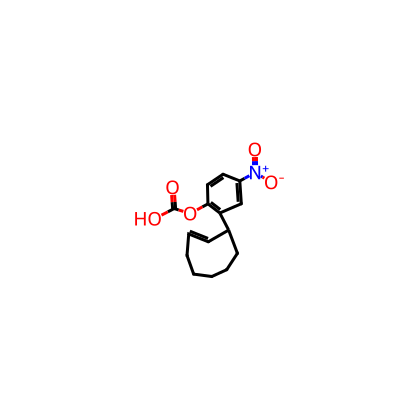 O=C(O)Oc1ccc([N+](=O)[O-])cc1C1/C=C/CCCCC1